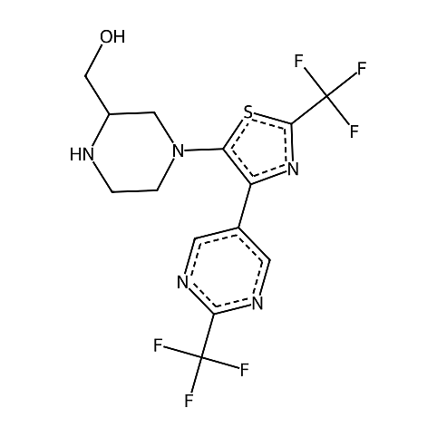 OCC1CN(c2sc(C(F)(F)F)nc2-c2cnc(C(F)(F)F)nc2)CCN1